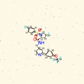 O=C(NCc1ccnc(-c2ccc(OC(F)(F)F)cc2)c1)[C@@H]1C[C@@H](F)CN1S(=O)(=O)c1ccc(F)cc1